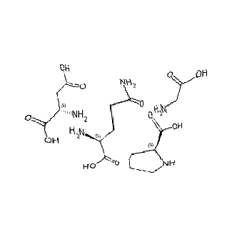 NC(=O)CC[C@H](N)C(=O)O.NCC(=O)O.N[C@@H](CC(=O)O)C(=O)O.O=C(O)[C@@H]1CCCN1